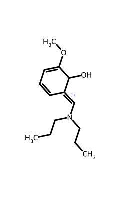 CCCN(/C=C1\C=CC=C(OC)C1O)CCC